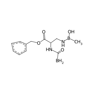 BC(=O)NC(CNB(C)O)C(=O)OCc1ccccc1